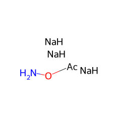 CC(=O)ON.[NaH].[NaH].[NaH]